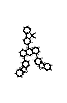 CC1(C)c2ccccc2-c2ccc(-c3c4cccc(-c5ccc6oc7ccccc7c6c5)c4cc4c(-c5ccc6oc7ccccc7c6c5)cccc34)cc21